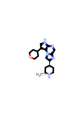 C[C@@H]1C[C@@H](c2cn3c(cnc4[nH]cc(C5CCOCC5)c43)n2)CCN1